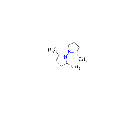 CC1CCC(C)N1N1CCC[C@@H]1C